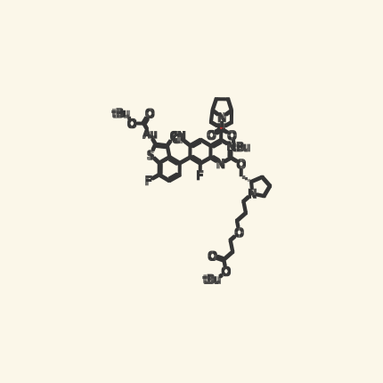 CC(C)(C)OC(=O)CCOCCCN1CCC[C@H]1COc1nc(N2CC3CCC(C2)N3C(=O)OC(C)(C)C)c2cc(Cl)c(-c3ccc(F)c4s[c]([Au][C](=O)OC(C)(C)C)c(C#N)c34)c(F)c2n1